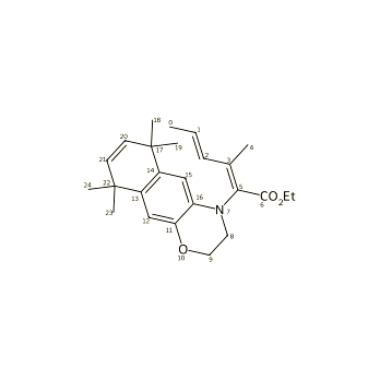 CC=CC(C)=C(C(=O)OCC)N1CCOc2cc3c(cc21)C(C)(C)C=CC3(C)C